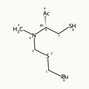 CCC(C)CSCN(C)[C@@H](CS)C(C)=O